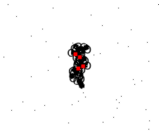 CCC(C)(OC1COC(C(C)(C)OC(COOC(=O)C(C)(C)C(C)C)C(OC(C)=O)C(C)OC(C)=O)C(OC(C)=O)C1OC(C)=O)C1OCC(OC(C)=O)C(OC(C)=O)C1OC(C)=O